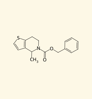 CC1c2ccsc2CCN1C(=O)OCc1ccccc1